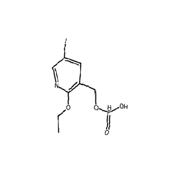 CCOc1ncc(I)cc1CO[PH](=O)O